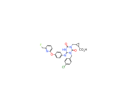 O=C(O)C1CC1Cn1c(=O)[nH]/c(=N\c2ccc(Oc3cccc(CF)n3)cc2)n(Cc2ccc(Cl)cc2)c1=O